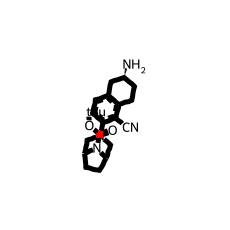 CC(C)(C)OC(=O)N1C2CCC1CN(c1ccc3c(c1C#N)CC[C@@H](N)C3)C2